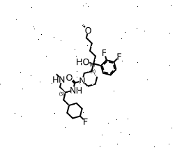 CNC[C@H](CC1CCC(F)CC1)NC(=O)N1CCC[C@@H]([C@](O)(CCCCOC)c2cccc(F)c2F)C1